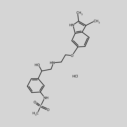 Cc1[nH]c2cc(OCCNCC(O)c3cccc(NS(C)(=O)=O)c3)ccc2c1C.Cl